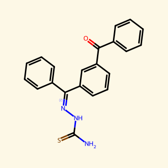 NC(=S)N/N=C(/c1ccccc1)c1cccc(C(=O)c2ccccc2)c1